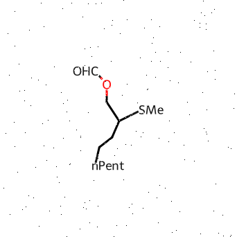 CCCCCCCC(COC=O)SC